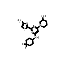 Cc1csc(-c2nc(NC3CCC(F)(F)CC3)cc(N3CCCC(O)C3)n2)n1